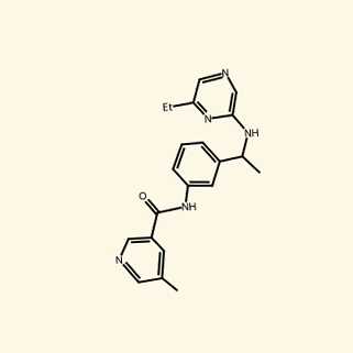 CCc1cncc(NC(C)c2cccc(NC(=O)c3cncc(C)c3)c2)n1